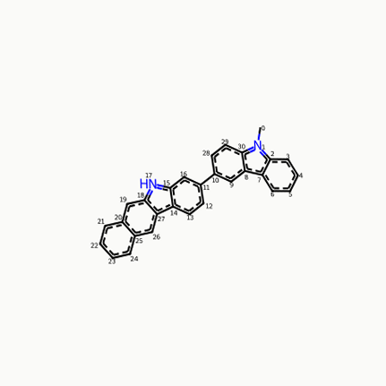 Cn1c2ccccc2c2cc(-c3ccc4c(c3)[nH]c3cc5ccccc5cc34)ccc21